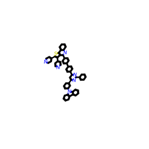 c1ccc(-c2nc(-c3ccc(-c4ccc(-c5nc6ccccc6c6sc(-c7ccncc7)c(-c7ccncc7)c56)cc4)cc3)cc(-c3cccc(-n4c5ccccc5c5ccccc54)c3)n2)cc1